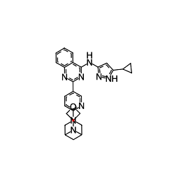 c1ccc2c(Nc3cc(C4CC4)[nH]n3)nc(-c3ccc(N4CC5CC(C4)N5C4COC4)nc3)nc2c1